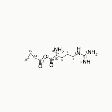 N=C(N)NCCC[C@H](N)C(=O)OC(=O)C1CC1